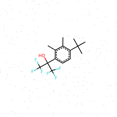 Cc1c(C(C)(C)C)ccc(C(O)(C(F)(F)F)C(F)(F)F)c1C